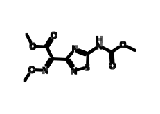 CON=C(C(=O)OC)c1nsc(NC(=O)OC)n1